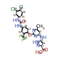 Cc1cc(Nc2cc(C(=O)O)n[nH]2)nc(Oc2ccc(NC(=O)Nc3ccc(Cl)c(Cl)c3)cc2C(F)(F)F)n1